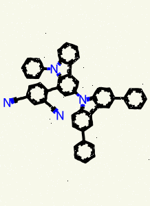 N#Cc1ccc(-c2cc(-n3c4ccc(-c5ccccc5)cc4c4cc(-c5ccccc5)ccc43)cc3c4ccccc4n(-c4ccccc4)c23)c(C#N)c1